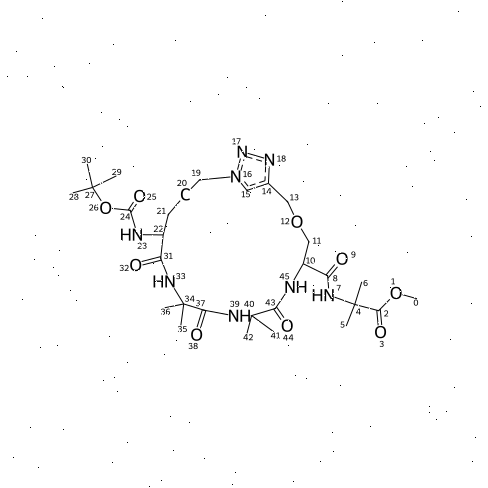 COC(=O)C(C)(C)NC(=O)C1COCc2cn(nn2)CCCC(NC(=O)OC(C)(C)C)C(=O)NC(C)(C)C(=O)NC(C)(C)C(=O)N1